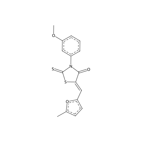 COc1cccc(N2C(=O)C(=Cc3ccc(C)o3)SC2=S)c1